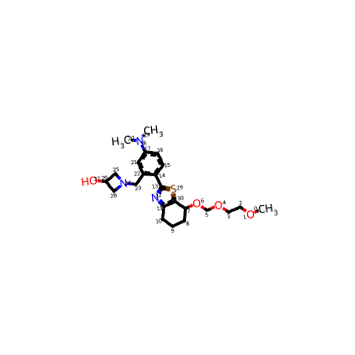 COCCOCOC1CCCc2nc(-c3ccc(N(C)C)cc3CN3CC(O)C3)sc21